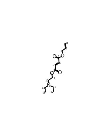 C=CCOC(=O)C=CC(=O)OCCN(CC)CC